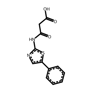 O=C(O)CC(=O)Nc1ncc(-c2ccccc2)s1